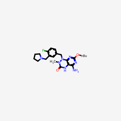 CCCCOc1nc(N)c2c(n1)N(Cc1ccc(F)c(CN3CCCC3)c1)N(C)C(=O)N2